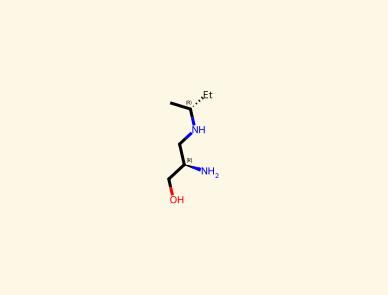 CC[C@@H](C)NC[C@@H](N)CO